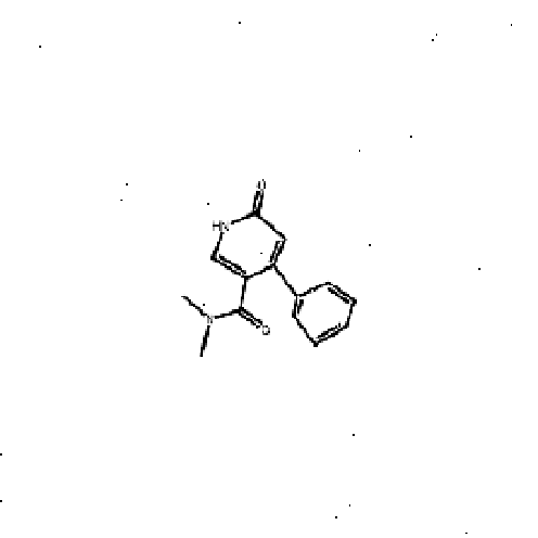 CN(C)C(=O)c1c[nH]c(=O)cc1-c1ccccc1